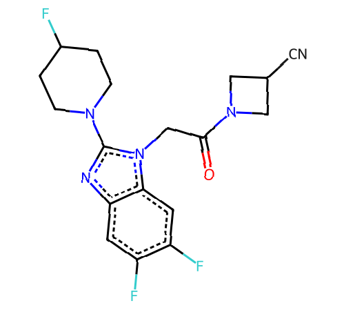 N#CC1CN(C(=O)Cn2c(N3CCC(F)CC3)nc3cc(F)c(F)cc32)C1